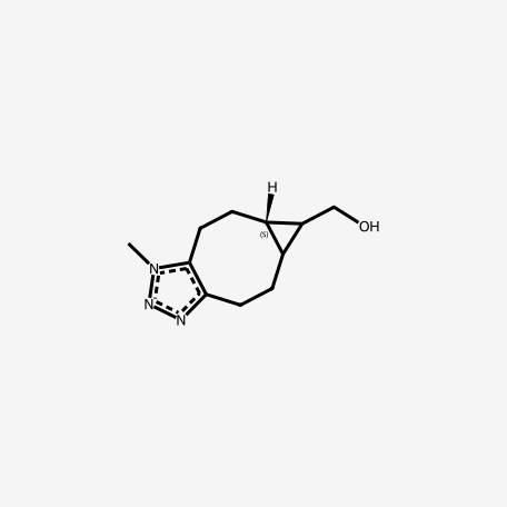 Cn1nnc2c1CC[C@@H]1C(CO)C1CC2